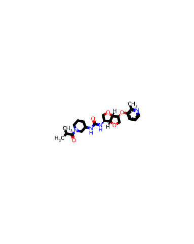 Cc1ncccc1O[C@H]1CO[C@H]2[C@@H]1OC[C@@H]2NC(=O)NC1CCCN(C(=O)C(C)C)C1